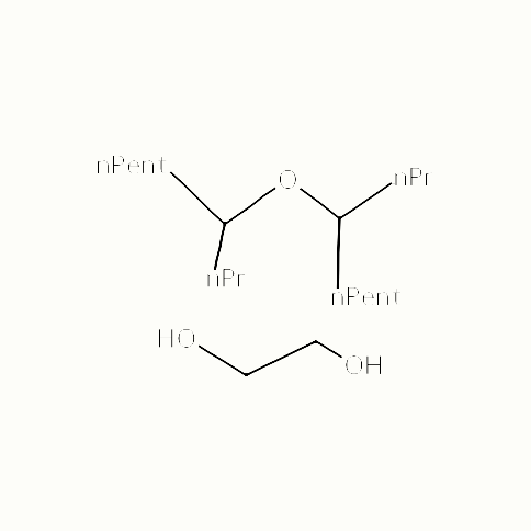 CCCCCC(CCC)OC(CCC)CCCCC.OCCO